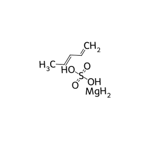 C=CC=CC.O=S(=O)(O)O.[MgH2]